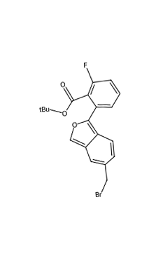 CC(C)(C)OC(=O)c1c(F)cccc1-c1occ2cc(CBr)ccc12